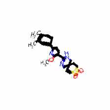 COc1nc(-c2ccc(C)c(C)c2)ccc1C1=NCC2(C=CS(=O)(=O)CC2)CN1